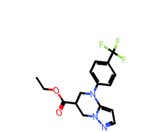 CCOC(=O)C1CN(c2ccc(C(F)(F)F)cc2)c2ccnn2C1